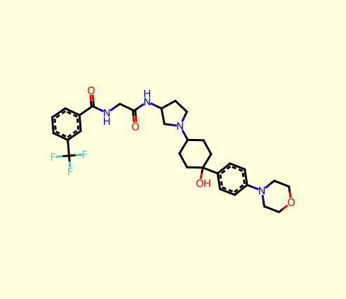 O=C(CNC(=O)c1cccc(C(F)(F)F)c1)NC1CCN(C2CCC(O)(c3ccc(N4CCOCC4)cc3)CC2)C1